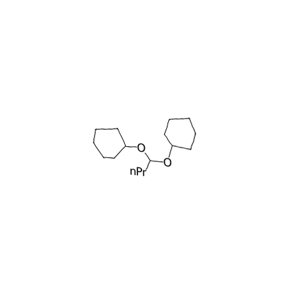 [CH2]CCC(OC1CCCCC1)OC1CCCCC1